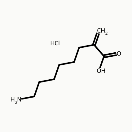 C=C(CCCCCCN)C(=O)O.Cl